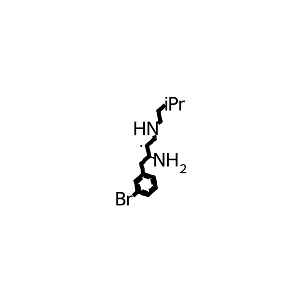 CC(C)CCNC[CH][C@H](N)Cc1cccc(Br)c1